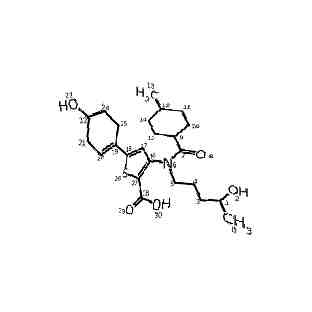 CC(O)CCCN(C(=O)C1CCC(C)CC1)c1cc(C2=CCC(O)CC2)sc1C(=O)O